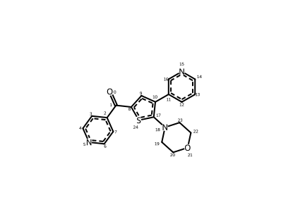 O=C(c1ccncc1)c1cc(-c2cccnc2)c(N2CCOCC2)s1